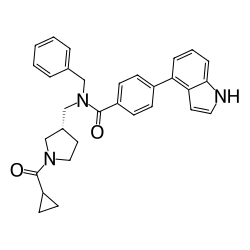 O=C(c1ccc(-c2cccc3[nH]ccc23)cc1)N(Cc1ccccc1)C[C@@H]1CCN(C(=O)C2CC2)C1